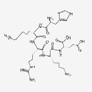 N=C(N)NCCC[C@H](NC(=O)[C@H](CCCCN)NC(=O)[C@@H](N)Cc1c[nH]cn1)C(=O)N[C@@H](CCCCN)C(=O)N[C@@H](CCC(=O)O)C(=O)O